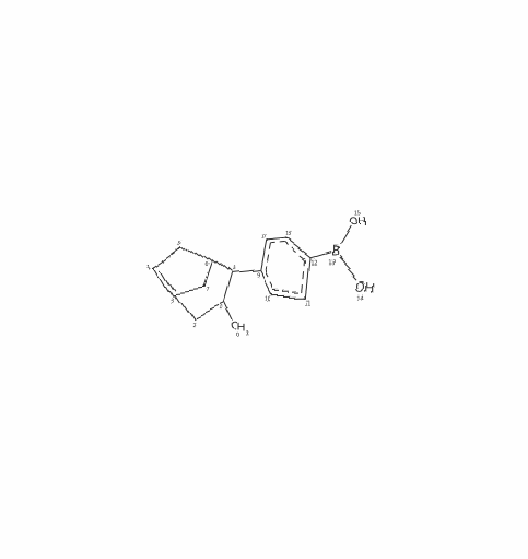 CC1CC2=CCC(C2)C1c1ccc(B(O)O)cc1